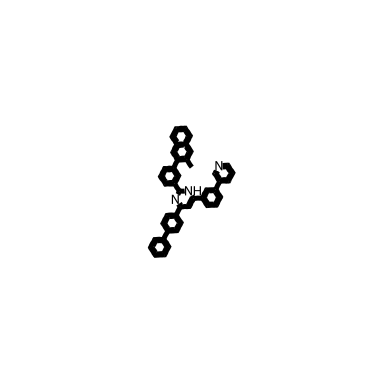 Cc1cc2ccccc2cc1-c1cccc(C2N=C(c3ccc(-c4ccccc4)cc3)C=C(c3cccc(-c4cccnc4)c3)N2)c1